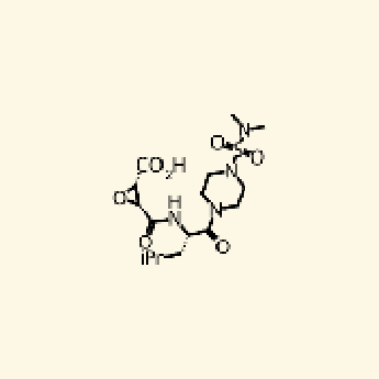 CC(C)C[C@H](NC(=O)[C@H]1O[C@@H]1C(=O)O)C(=O)N1CCN(S(=O)(=O)N(C)C)CC1